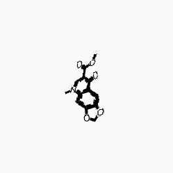 COC(=O)c1cn(C)c2cc3c(cc2c1=O)OCO3